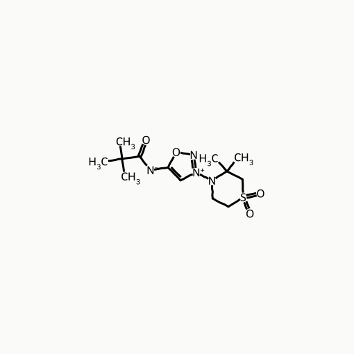 CC(C)(C)C(=O)[N-]c1c[n+](N2CCS(=O)(=O)CC2(C)C)no1